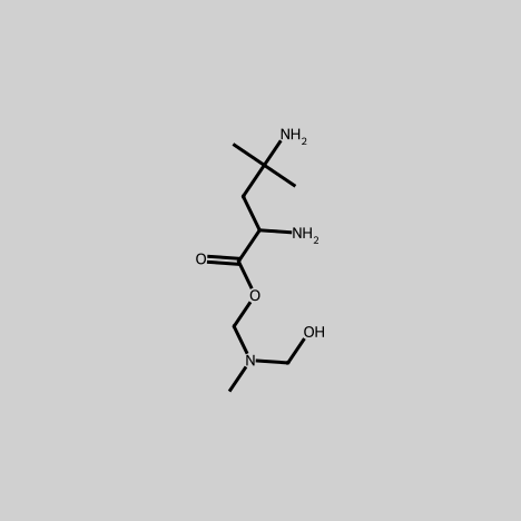 CN(CO)COC(=O)C(N)CC(C)(C)N